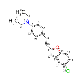 CCN(CC)c1ccc(C=Cc2cc3cc(Cl)ccc3o2)cc1